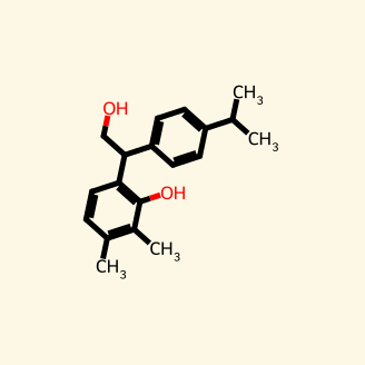 Cc1ccc(C(CO)c2ccc(C(C)C)cc2)c(O)c1C